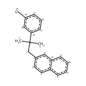 CC(C)([CH]c1ccc2ccccc2c1)c1cccc(Cl)c1